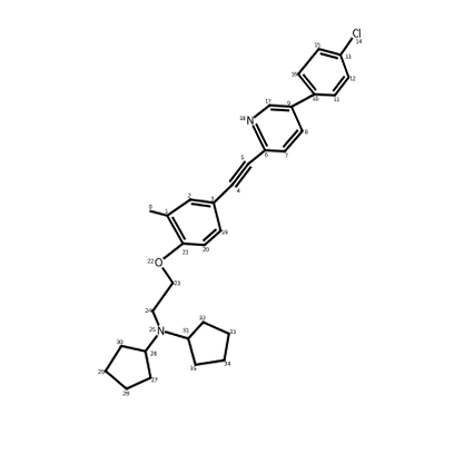 Cc1cc(C#Cc2ccc(-c3ccc(Cl)cc3)cn2)ccc1OCCN(C1CCCC1)C1CCCC1